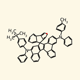 Cc1ccc(N(c2ccccc2)c2ccc3c4c(c5ccccc5c3c2)-c2c(cc(N(c3ccccc3)c3ccc([Si](C)(C)C)cc3)c3ccccc23)C42c3ccccc3-c3ccccc32)cc1